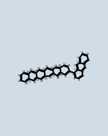 [c]1c(-c2cccc3cc4ccccc4cc23)ccc2cc3cc4cc5cc6ccccc6cc5cc4cc3cc12